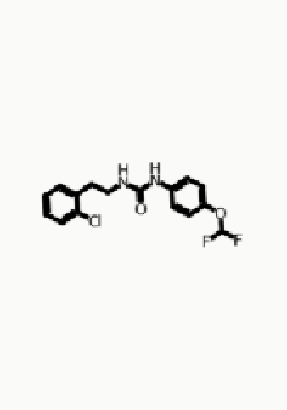 O=C(NCCc1ccccc1Cl)Nc1ccc(OC(F)F)cc1